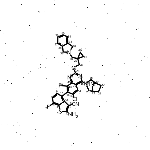 N#Cc1c(N)sc2c(F)ccc(-c3c(Cl)cc4c(N5CC6CCC(C5)N6)nc(OCC5(CN6Cc7ccccc7C6)CC5)nc4c3F)c12